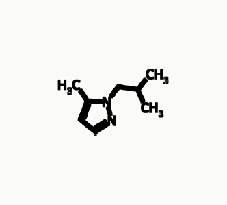 Cc1c[c]nn1CC(C)C